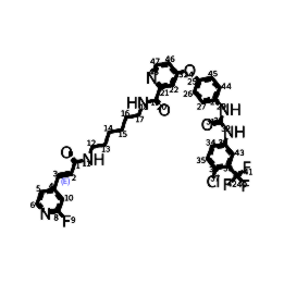 O=C(/C=C/c1ccnc(F)c1)NCCCCCCNC(=O)c1cc(Oc2ccc(NC(=O)Nc3ccc(Cl)c(C(F)(F)F)c3)cc2)ccn1